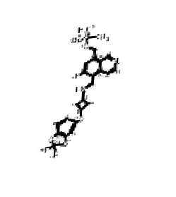 CC(C)(C)[Si](C)(C)OCc1cc(F)c(CNC2CC(Oc3ccc4c(c3)OC(F)(F)O4)C2)c2ccncc12